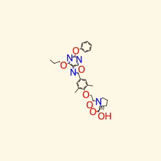 CCCOc1nc(Oc2ccccc2)nc2oc(-c3cc(C)c(OCC(=O)N4CCC[C@H]4C(=O)O)c(C)c3)nc12